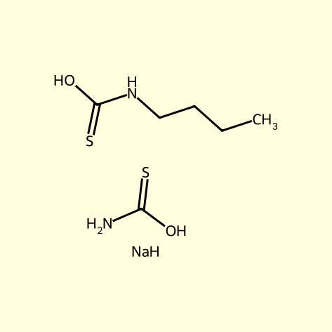 CCCCNC(O)=S.NC(O)=S.[NaH]